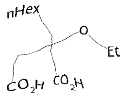 CCCCCCC(CC(=O)O)(OCC)C(=O)O